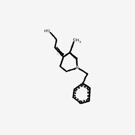 CC1CN(Cc2ccccc2)CC/C1=C/CO